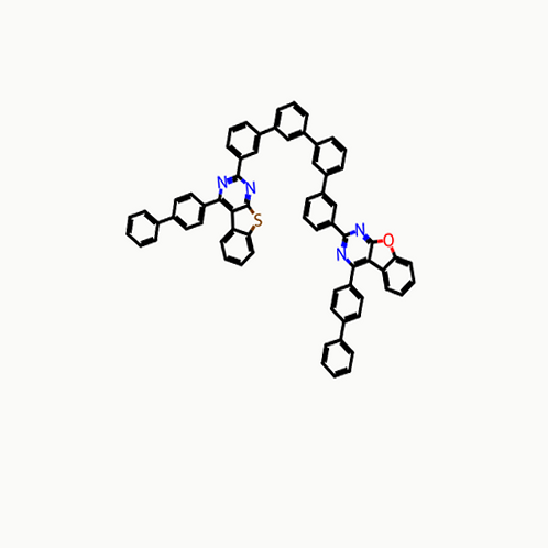 c1ccc(-c2ccc(-c3nc(-c4cccc(-c5cccc(-c6cccc(-c7cccc(-c8nc(-c9ccc(-c%10ccccc%10)cc9)c9c(n8)sc8ccccc89)c7)c6)c5)c4)nc4oc5ccccc5c34)cc2)cc1